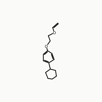 C=COCCOc1ccc(C2CCCCC2)cc1